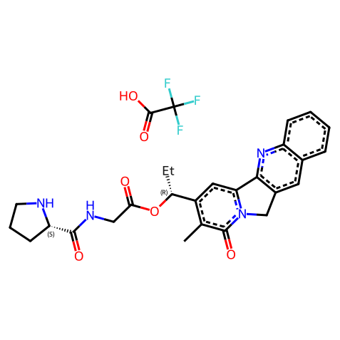 CC[C@@H](OC(=O)CNC(=O)[C@@H]1CCCN1)c1cc2n(c(=O)c1C)Cc1cc3ccccc3nc1-2.O=C(O)C(F)(F)F